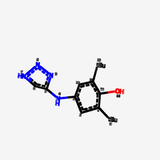 CC(C)(C)c1cc(Nc2c[nH]nn2)cc(C(C)(C)C)c1O